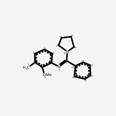 COc1c(C)cccc1N=C(c1ccccc1)N1CCCC1